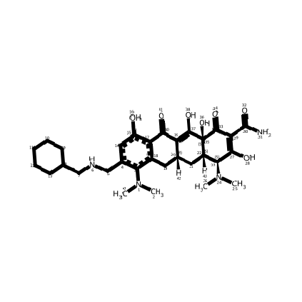 CN(C)c1c(CNCC2CCCCC2)cc(O)c2c1C[C@H]1C[C@H]3[C@H](N(C)C)C(O)=C(C(N)=O)C(=O)[C@@]3(O)C(O)=C1C2=O